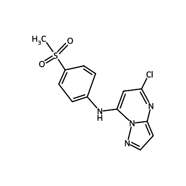 CS(=O)(=O)c1ccc(Nc2cc(Cl)nc3ccnn23)cc1